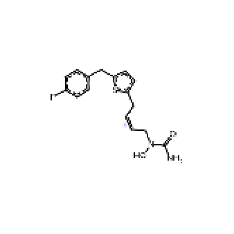 NC(=O)N(O)C/C=C\Cc1ccc(Cc2ccc(F)cc2)s1